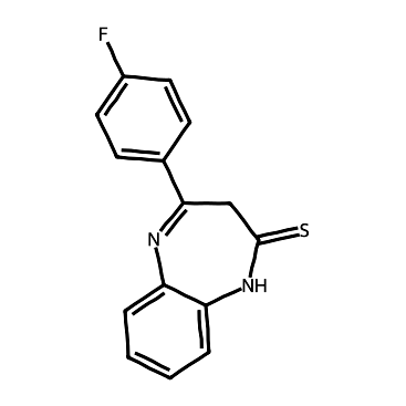 Fc1ccc(C2=Nc3ccccc3NC(=S)C2)cc1